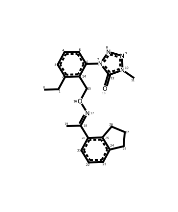 CCc1cccc(-n2nnn(C)c2=O)c1CON=C(C)c1cccc2c1CCC2